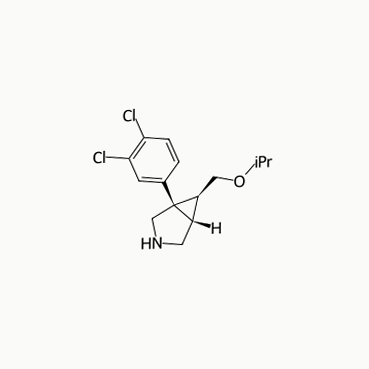 CC(C)OC[C@H]1[C@@H]2CNC[C@@]21c1ccc(Cl)c(Cl)c1